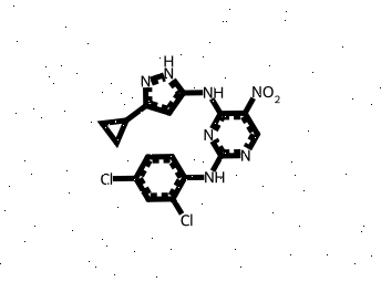 O=[N+]([O-])c1cnc(Nc2ccc(Cl)cc2Cl)nc1Nc1cc(C2CC2)n[nH]1